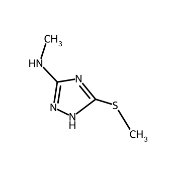 CNc1n[nH]c(SC)n1